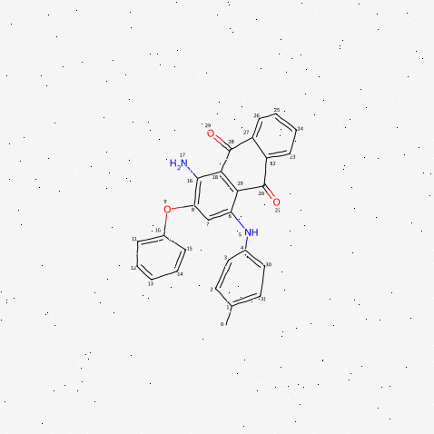 Cc1ccc(Nc2cc(Oc3ccccc3)c(N)c3c2C(=O)c2ccccc2C3=O)cc1